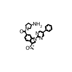 C[S+]([O-])c1cn(-c2ncc(-c3ccccc3)cn2)c2cc(C(=O)N3CC[C@@H](N)C3)ccc12